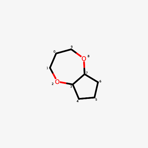 C1COC2CCCC2OC1